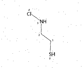 SCCNCl